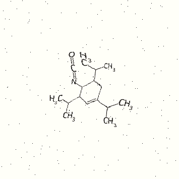 CC(C)C1=CC(C(C)C)C(N=C=O)C(C(C)C)C1